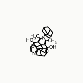 CC1=C(C(=O)O)C(c2cccnc2)(C23CC4CC(CC(C4)C2)C3)C(C(=O)O)=C(C)N1C12CC3CC(CC(C3)C1)C2